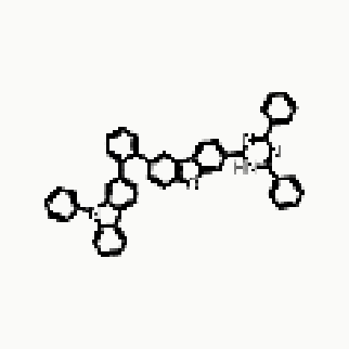 c1ccc(C2=NC(c3ccc4c(c3)oc3ccc(-c5ccccc5-c5ccc6c7ccccc7n(-c7ccccc7)c6c5)cc34)NC(c3ccccc3)=N2)cc1